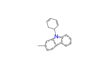 Cc1ccc2c3ccccc3n(C3C=CC=CC3)c2c1